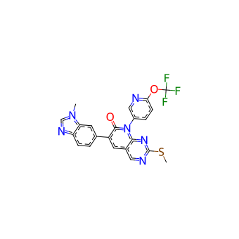 CSc1ncc2cc(-c3ccc4ncn(C)c4c3)c(=O)n(-c3ccc(OC(F)(F)F)nc3)c2n1